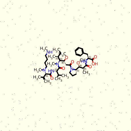 C=C(C)[C@@H](C(=O)N[C@H](C(=O)N(C)[C@@H]([C@@H](C)CC)[C@@H](CC(=O)N1CCC[C@H]1[C@H](OC)[C@@H](C)C(=O)N[C@@H](Cc1ccccc1)C(=O)O)OC)C(C)C)N(C)CCCCNC